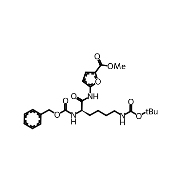 COC(=O)c1ccc(NC(=O)[C@@H](CCCCNC(=O)OC(C)(C)C)NC(=O)OCc2ccccc2)o1